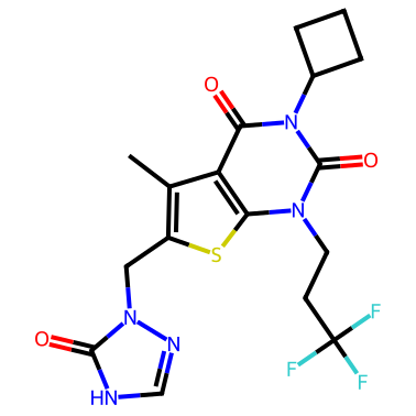 Cc1c(Cn2nc[nH]c2=O)sc2c1c(=O)n(C1CCC1)c(=O)n2CCC(F)(F)F